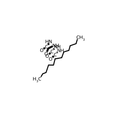 CCCCCCCCCCCC.N=C=O.N=C=O.N=C=O.N=C=O